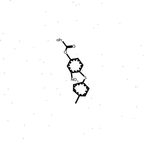 CCCC(=O)Oc1ccc(Sc2ccc(C)cc2)c([N+](=O)[O-])c1